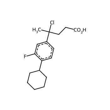 CC(Cl)(CCC(=O)O)c1ccc(C2CCCCC2)c(F)c1